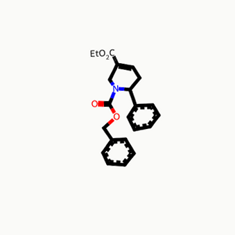 CCOC(=O)C1=CCC(c2ccccc2)N(C(=O)OCc2ccccc2)C1